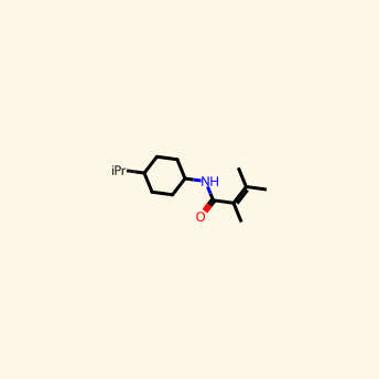 CC(C)=C(C)C(=O)NC1CCC(C(C)C)CC1